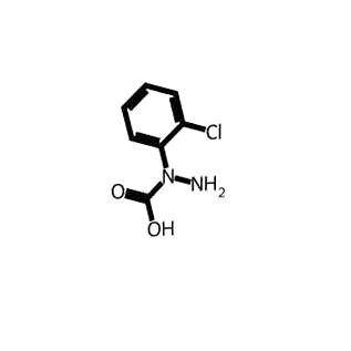 NN(C(=O)O)c1ccccc1Cl